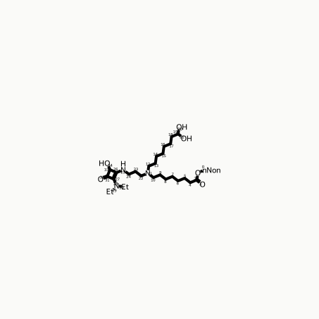 CCCCCCCCCOC(=O)CCCCCCCN(CCCCCCCC(O)O)CCCNC1=C(N(CC)CC)C(=O)C1O